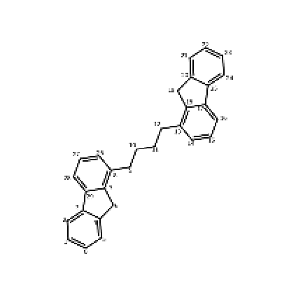 c1ccc2c(c1)Cc1c(CCCCc3cccc4c3Cc3ccccc3-4)cccc1-2